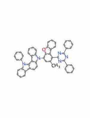 Cc1cc(-n2c3ccccc3c3c2ccc2c4ccccc4n(-c4ccccc4)c23)c2oc3ccccc3c2c1-c1nc(-c2ccccc2)nc(-c2ccccc2)n1